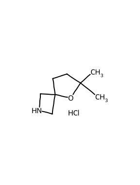 CC1(C)CCC2(CNC2)O1.Cl